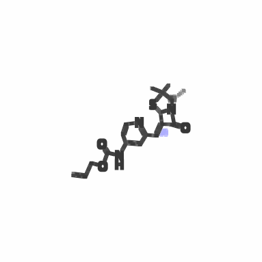 C=CCOC(=O)Nc1ccnc(/C=C2/C(=O)N3C2SC(C)(C)[C@@H]3C)c1